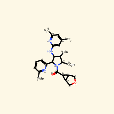 COc1cccc(C2C(Nc3cc(C(F)(F)F)cc(C)n3)C(C(C)(C)C)C(C(=O)O)N2C(=O)C2C3COCC32)n1